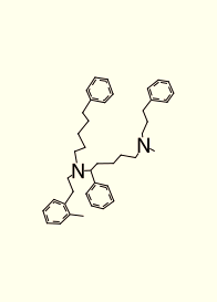 Cc1ccccc1CCN(CCCCCc1ccccc1)C(CCCCN(C)CCCc1ccccc1)c1ccccc1